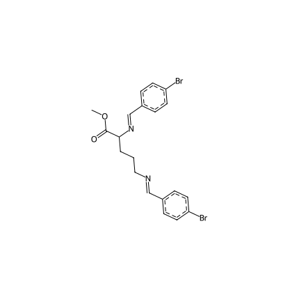 COC(=O)C(CCC/N=C/c1ccc(Br)cc1)/N=C/c1ccc(Br)cc1